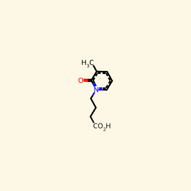 Cc1cccn(CCCC(=O)O)c1=O